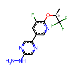 C[C@H](Oc1ncc(-c2cnc(NN)cn2)cc1F)C(F)(F)F